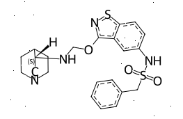 O=S(=O)(Cc1ccccc1)Nc1ccc2snc(OCN[C@@H]3CN4CCC3CC4)c2c1